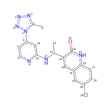 Cc1nnnn1-c1ccnc(NC(C)c2cc3cc(Cl)ccc3[nH]c2=O)c1